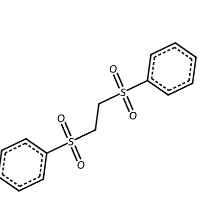 O=S(=O)(CCS(=O)(=O)c1ccccc1)c1ccccc1